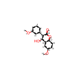 COc1cccc(-c2c(O)c3cc(OC)ccc3oc2=O)c1